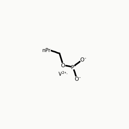 CCCCOP([O-])[O-].[V+2]